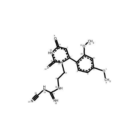 COc1ccc(-c2cc(=O)[nH]c(=S)n2CCNC(=N)NC#N)c(OC)c1